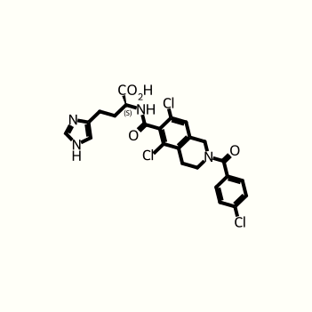 O=C(N[C@@H](CCc1c[nH]cn1)C(=O)O)c1c(Cl)cc2c(c1Cl)CCN(C(=O)c1ccc(Cl)cc1)C2